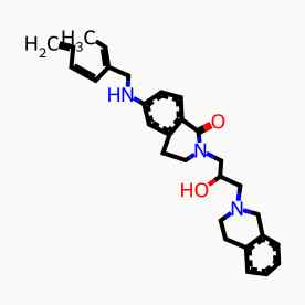 C=C/C=C\C(=C/C)CNc1ccc2c(c1)CCN(CC(O)CN1CCc3ccccc3C1)C2=O